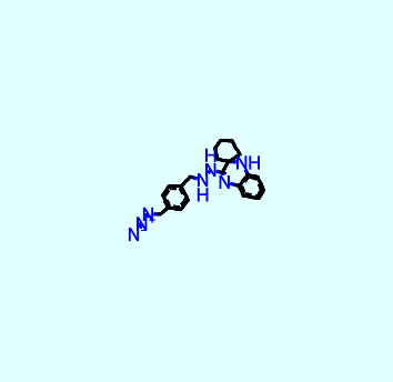 [N-]=[N+]=NCc1ccc(CNNC2=Nc3ccccc3NC23CCCCC3)cc1